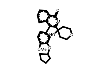 COc1ccc(-c2c(C3(O)CCOCC3)oc(=O)c3ccccc23)cc1OC1CCCC1